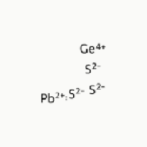 [Ge+4].[Pb+2].[S-2].[S-2].[S-2]